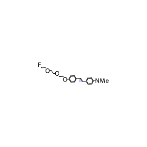 CNc1ccc(/C=C/c2ccc(OCCOCCOCCF)cc2)cc1